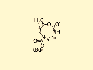 CC1CCN(C(=O)OC(C)(C)C)CCNC(=O)O1